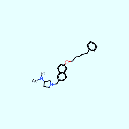 CCN(C(C)=O)C1CCN(Cc2ccc3cc(OCCCCCc4ccccc4)ccc3c2)C1